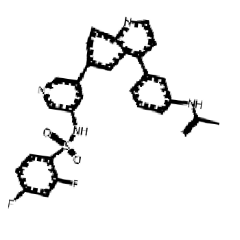 C=C(C)Nc1cccc(-c2ccnc3ccc(-c4cncc(NS(=O)(=O)c5ccc(F)cc5F)c4)cc23)c1